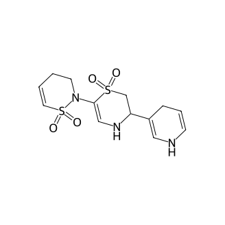 O=S1(=O)CC(C2=CNC=CC2)NC=C1N1CCC=CS1(=O)=O